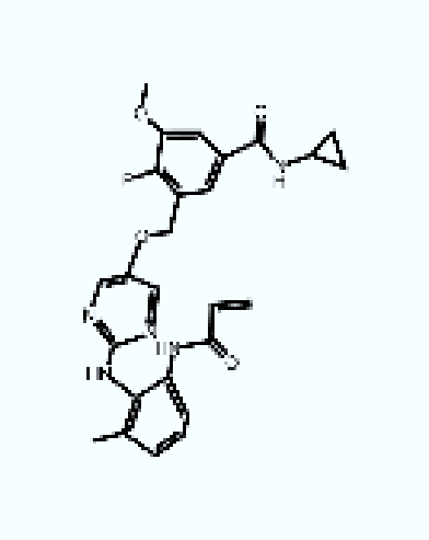 C=CC(=O)Nc1cccc(C)c1Nc1ncc(OCc2cc(C(=O)NC3CC3)cc(OC)c2F)cn1